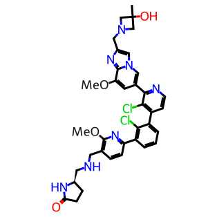 COc1nc(-c2cccc(-c3ccnc(-c4cc(OC)c5nc(CN6CC(C)(O)C6)cn5c4)c3Cl)c2Cl)ccc1CNC[C@H]1CCC(=O)N1